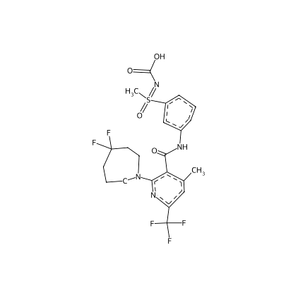 Cc1cc(C(F)(F)F)nc(N2CCCC(F)(F)CC2)c1C(=O)Nc1cccc(S(C)(=O)=NC(=O)O)c1